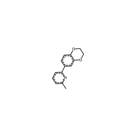 Cc1cccc(-c2ccc3c(c2)OCCO3)n1